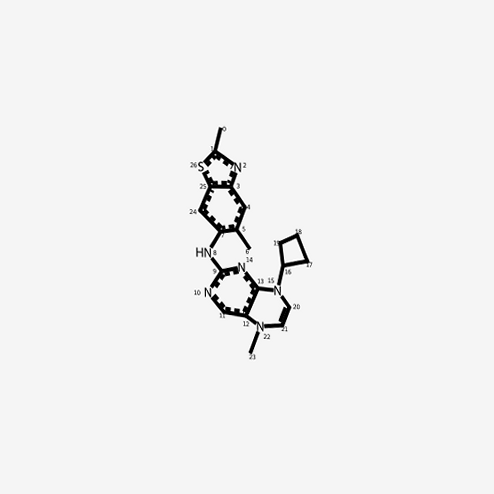 Cc1nc2cc(C)c(Nc3ncc4c(n3)N(C3CCC3)C=CN4C)cc2s1